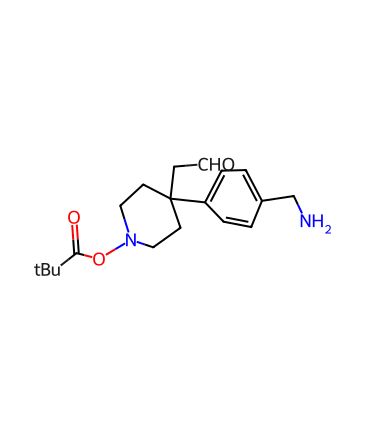 CC(C)(C)C(=O)ON1CCC(CC=O)(c2ccc(CN)cc2)CC1